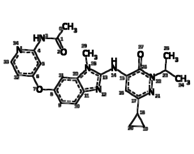 CC(=O)Nc1cc(Oc2ccc3nc(Nc4cc(C5CC5)nn(C(C)C)c4=O)n(C)c3c2)ccn1